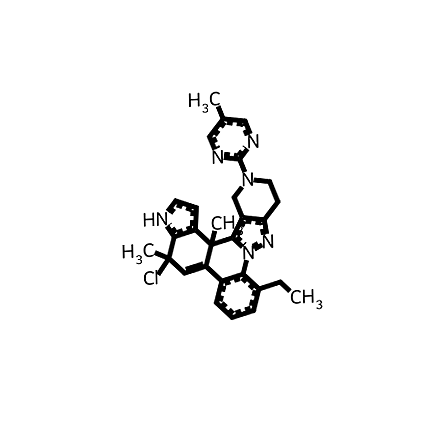 CCc1cccc2c1-n1nc3c(c1C1(C)C2=CC(C)(Cl)c2[nH]ccc21)CN(c1ncc(C)cn1)CC3